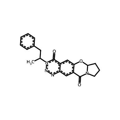 CC(Cc1ccccc1)n1nnc2cc3c(cc2c1=O)OC1CCCN1C3=O